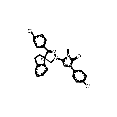 Cn1c(N2C[C@@]3(CCc4ccccc43)C(c3ccc(Cl)cc3)=N2)nn(-c2ccc(Cl)cc2)c1=O